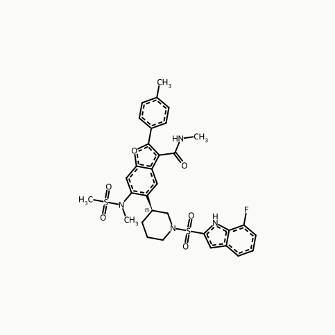 CNC(=O)c1c(-c2ccc(C)cc2)oc2cc(N(C)S(C)(=O)=O)c([C@@H]3CCCN(S(=O)(=O)c4cc5cccc(F)c5[nH]4)C3)cc12